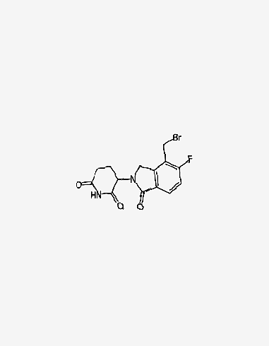 O=C1CCC(N2Cc3c(ccc(F)c3CBr)C2=O)C(=O)N1